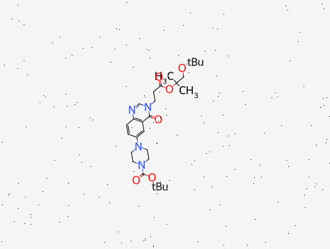 CC(C)(C)OCC(C)(C)OC(=O)CCn1cnc2ccc(N3CCN(C(=O)OC(C)(C)C)CC3)cc2c1=O